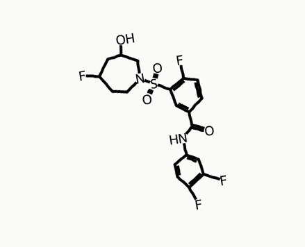 O=C(Nc1ccc(F)c(F)c1)c1ccc(F)c(S(=O)(=O)N2CCC(F)CC(O)C2)c1